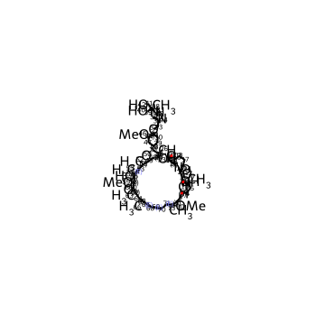 CO[C@H]1C[C@@H]2CC[C@@H](C)[C@@](O)(O2)C(=O)C(=O)N2CCCC[C@H]2C(=O)O[C@H]([C@H](C)C[C@@H]2CC[C@@H](OCc3cn(C(C)(CO)CO)nn3)[C@H](OC)C2)CC(=O)[C@H](C)/C=C(\C)[C@@H](O)[C@@H](OC)C(=O)[C@H](C)C[C@H](C)/C=C/C=C/C=C/1C